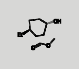 CC[C@H]1CC[C@H](O)CC1.COC=O